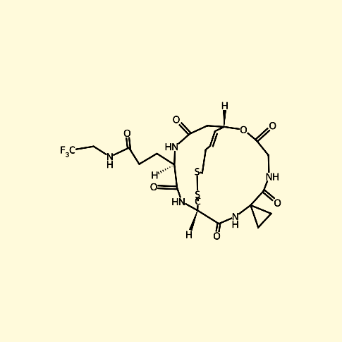 O=C(CC[C@H]1NC(=O)C[C@H]2/C=C/CCSSC[C@@H](NC1=O)C(=O)NC1(CC1)C(=O)NCC(=O)O2)NCC(F)(F)F